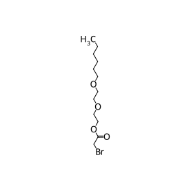 CCCCCCOCCOCCOC(=O)CBr